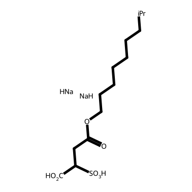 CC(C)CCCCCCCOC(=O)CC(C(=O)O)S(=O)(=O)O.[NaH].[NaH]